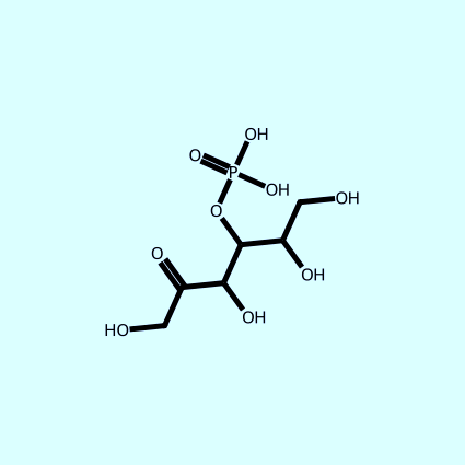 O=C(CO)C(O)C(OP(=O)(O)O)C(O)CO